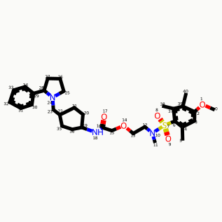 COc1cc(C)c(S(=O)(=O)N(C)CCOCC(=O)NC2CCC(CN3CCCC3c3ccccc3)CC2)c(C)c1C